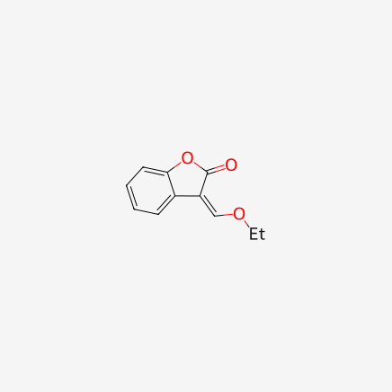 CCOC=C1C(=O)Oc2ccccc21